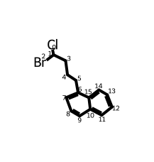 ClC(Br)CCCc1cccc2ccccc12